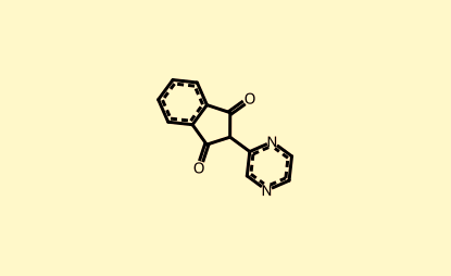 O=C1c2ccccc2C(=O)C1c1cnccn1